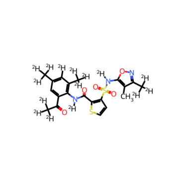 [2H]c1c(C([2H])([2H])[2H])cc(C(=O)C([2H])([2H])[2H])c(N([2H])C(=O)c2sccc2S(=O)(=O)N([2H])c2onc(C([2H])([2H])[2H])c2C)c1C([2H])([2H])[2H]